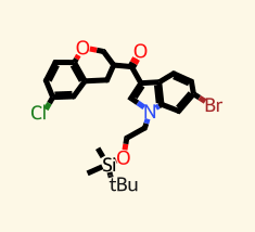 CC(C)(C)[Si](C)(C)OCCn1cc(C(=O)C2COc3ccc(Cl)cc3C2)c2ccc(Br)cc21